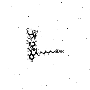 CCCCCCCCCCCCCCCCOC(=O)c1ccccc1C(=O)Nc1ccn([C@@H]2O[C@H](CO)[C@@H](O)C2(F)F)c(=O)n1